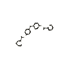 O=C(c1ccc(NC(=O)c2ccccn2)cc1)c1ccc(NC(=O)c2ccccn2)cc1